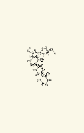 CCc1nn(-c2ccc(OC)cc2)c2c1CCN(c1ccc(N3CCCCC3=O)cc1)C2=O